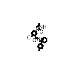 Cc1ccc(C2(CNC(=O)c3cc(-n4cc(C)[nH]c4=O)ccc3Cl)CCCCC2)cc1